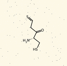 N[C@@H](CS)C(=O)[CH]C=S